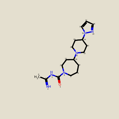 CC(=N)NC(=O)N1CCCC(N2CCC(n3cccn3)CC2)CC1